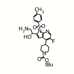 Cc1ccc(S(=O)(=O)n2c(C(O)CN)cc3c(C4CCN(C(=O)OC(C)(C)C)CC4)c(F)cnc32)cc1